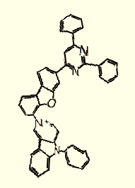 c1ccc(-c2cc(-c3ccc4c(c3)oc3c(-[n+]5ccc6c(c5)c5ccccc5n6-c5ccccc5)cccc34)nc(-c3ccccc3)n2)cc1